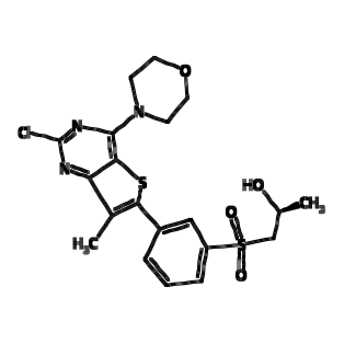 Cc1c(-c2cccc(S(=O)(=O)C[C@H](C)O)c2)sc2c(N3CCOCC3)nc(Cl)nc12